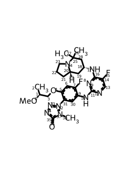 CO[C@@H](C)COc1cc(F)c(Nc2ncc(F)c(N[C@@H]3C[C@@H]4CCCN4C(C)(C)C3)n2)cc1-n1nnc(=O)n1C